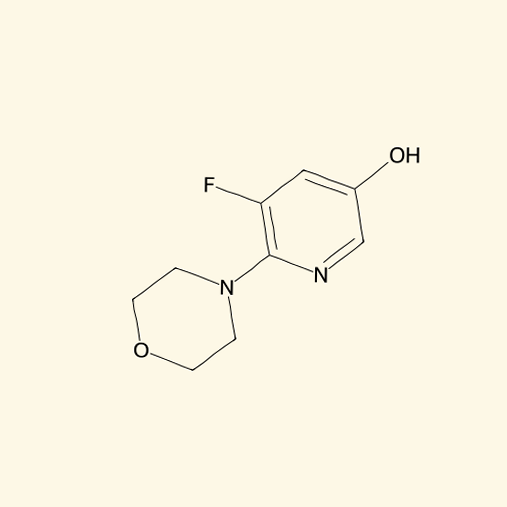 Oc1cnc(N2CCOCC2)c(F)c1